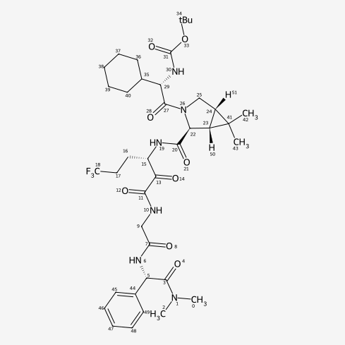 CN(C)C(=O)[C@@H](NC(=O)CNC(=O)C(=O)[C@H](CCC(F)(F)F)NC(=O)[C@@H]1[C@@H]2[C@H](CN1C(=O)[C@@H](NC(=O)OC(C)(C)C)C1CCCCC1)C2(C)C)c1ccccc1